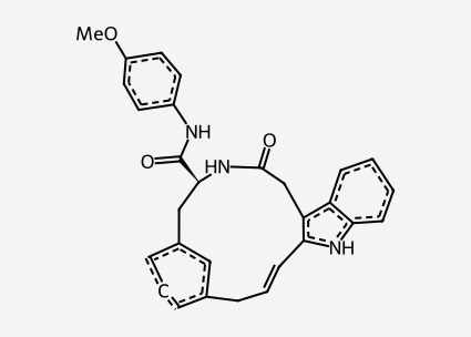 COc1ccc(NC(=O)[C@@H]2Cc3cccc(c3)C/C=C/c3[nH]c4ccccc4c3CC(=O)N2)cc1